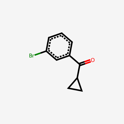 O=C(c1cccc(Br)c1)C1CC1